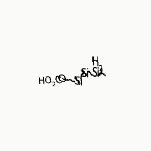 CC(C)=C[SiH2]CC[Si](C)(C)CC[Si](C)(C)CCCOC(=O)O